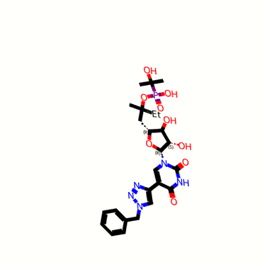 CCC(C)(C[C@H]1O[C@@H](n2cc(-c3cn(Cc4ccccc4)nn3)c(=O)[nH]c2=O)[C@@H](O)C1O)OP(=O)(O)C(C)(C)O